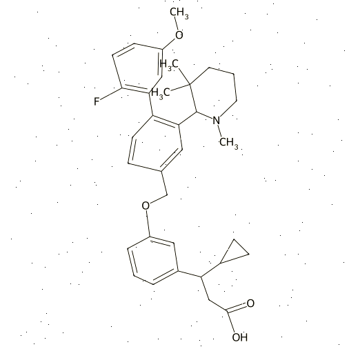 COc1ccc(F)c(-c2ccc(COc3cccc(C(CC(=O)O)C4CC4)c3)cc2C2N(C)CCCC2(C)C)c1